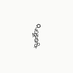 Cc1nc2c(nc1N1CCN(C(=O)OC(C)(C)C)CC1)CCN(Cc1ccccc1)C2